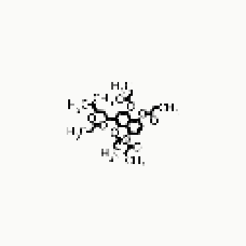 CCC(=O)Oc1ccc(OC(=O)CC)c2c(OC(=O)CC)c(C(CC=C(C)C)OC(=O)CC)cc(OC(=O)CC)c12